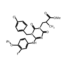 COC(=O)C(C)Cn1c(=O)nc(Nc2ccc(OC(C)C)c(F)c2)n(Cc2ccc(Cl)cc2)c1=O